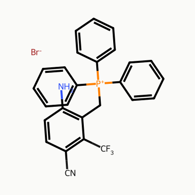 N#Cc1ccc(N)c(C[P+](c2ccccc2)(c2ccccc2)c2ccccc2)c1C(F)(F)F.[Br-]